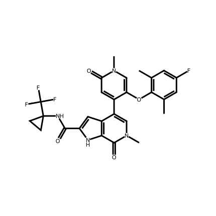 Cc1cc(F)cc(C)c1Oc1cn(C)c(=O)cc1-c1cn(C)c(=O)c2[nH]c(C(=O)NC3(C(F)(F)F)CC3)cc12